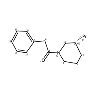 CC(C)[C@@H]1CCCN(C(=O)Cc2ccccc2)C1